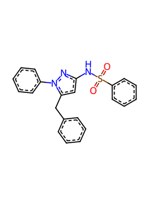 O=S(=O)(Nc1cc(Cc2ccccc2)n(-c2ccccc2)n1)c1ccccc1